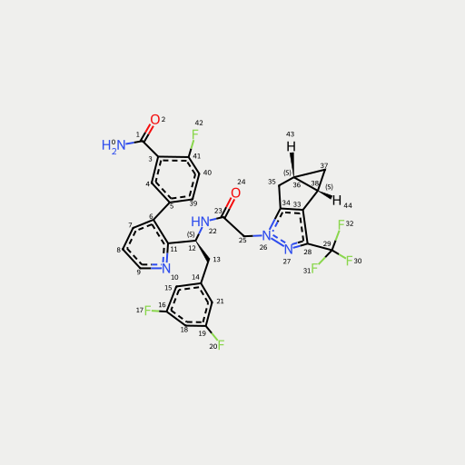 NC(=O)c1cc(-c2cccnc2[C@H](Cc2cc(F)cc(F)c2)NC(=O)Cn2nc(C(F)(F)F)c3c2C[C@@H]2C[C@H]32)ccc1F